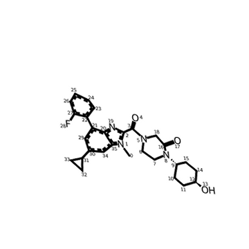 Cn1c(C(=O)N2CCN([C@H]3CC[C@H](O)CC3)C(=O)C2)nc2c(-c3ccccc3F)cc(C3CC3)cc21